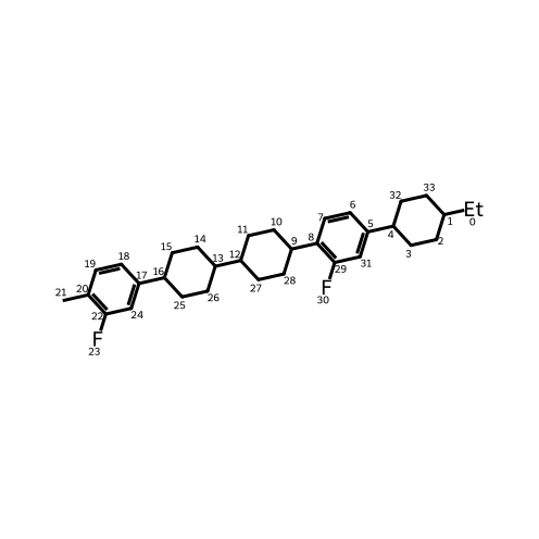 CCC1CCC(c2ccc(C3CCC(C4CCC(c5ccc(C)c(F)c5)CC4)CC3)c(F)c2)CC1